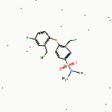 CN(C)S(=O)(=O)c1ccc(Sc2ccc(F)cc2CBr)c(CBr)c1